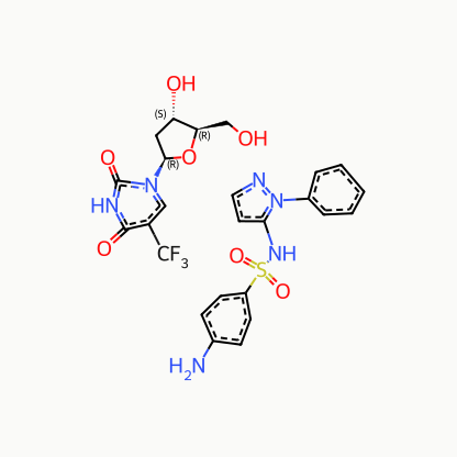 Nc1ccc(S(=O)(=O)Nc2ccnn2-c2ccccc2)cc1.O=c1[nH]c(=O)n([C@H]2C[C@H](O)[C@@H](CO)O2)cc1C(F)(F)F